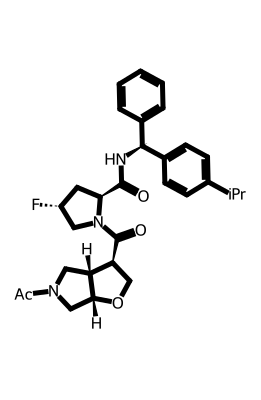 CC(=O)N1C[C@@H]2[C@@H](C(=O)N3C[C@H](F)C[C@H]3C(=O)N[C@@H](c3ccccc3)c3ccc(C(C)C)cc3)CO[C@@H]2C1